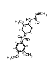 C=CC(=O)NC1CCN(S(=O)(=O)c2ccc(OC)c(C)c2)CC1C